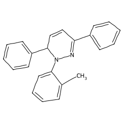 Cc1ccccc1N1N=C(c2ccccc2)C=CC1c1ccccc1